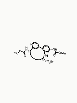 CCOC(=O)[C@H]1CCCC[C@H](NC(=O)OC(C)(C)C)c2cc(ccn2)-c2ccc(NC(=O)OC)cc2N1